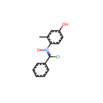 Cc1cc(O)ccc1[N+]([O-])=C(Cl)c1ccccc1